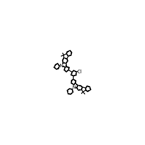 CC1(C)c2ccccc2-c2cc3c4cc(-c5cc(Cl)cc(-c6ccc7c(c6)c6cc8c(cc6n7-c6ccccc6)C(C)(C)c6ccccc6-8)c5)ccc4n(-c4ccccc4)c3cc21